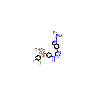 CCN(CC)CCn1ccc2cc(-c3cc(Nc4ccc(N(OC=O)S(=O)(=O)c5ccc(F)c(Cl)c5)cc4)ncn3)ccc21